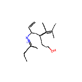 C=CC(/N=C(\C)CC)C(CCO)C(C)=C(C)C